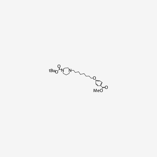 COC(=O)c1ccc(OCCCCCCCCN2CCCN(C(=O)OC(C)(C)C)CC2)cc1